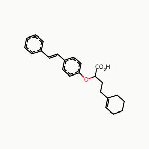 O=C(O)C(CCC1=CCCCC1)Oc1ccc(/C=C/c2ccccc2)cc1